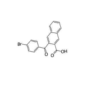 O=C(O)c1cc2ccccc2cc1C(=O)c1ccc(Br)cc1